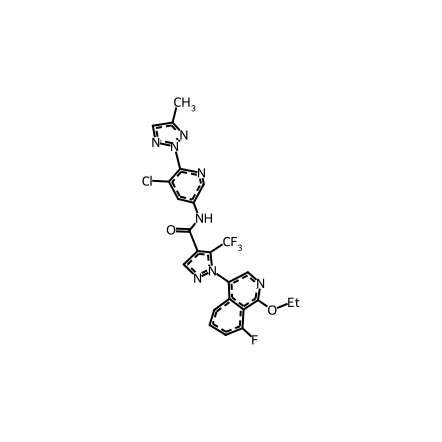 CCOc1ncc(-n2ncc(C(=O)Nc3cnc(-n4ncc(C)n4)c(Cl)c3)c2C(F)(F)F)c2cccc(F)c12